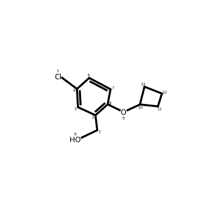 OCc1cc(Cl)ccc1OC1CCC1